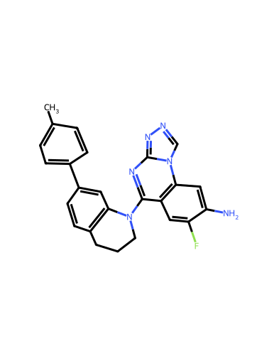 Cc1ccc(-c2ccc3c(c2)N(c2nc4nncn4c4cc(N)c(F)cc24)CCC3)cc1